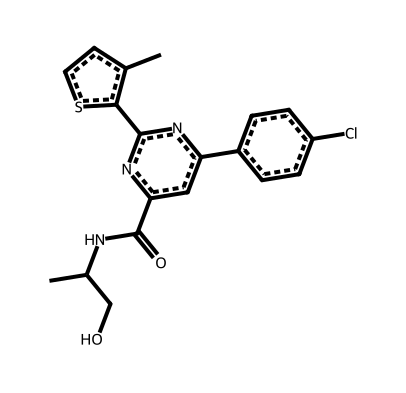 Cc1ccsc1-c1nc(C(=O)NC(C)CO)cc(-c2ccc(Cl)cc2)n1